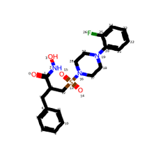 O=C(NO)C(Cc1ccccc1)CS(=O)(=O)N1CCN(c2ccccc2F)CC1